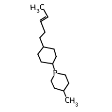 C/C=C/CCC1CCC(P2CCC(C)CC2)CC1